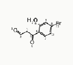 O.O=CCC(=O)c1ccc(Br)cc1